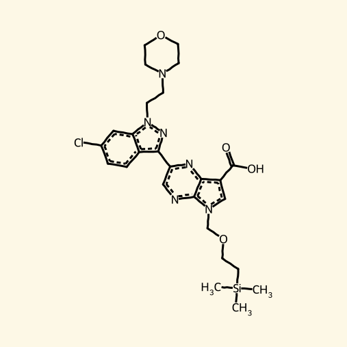 C[Si](C)(C)CCOCn1cc(C(=O)O)c2nc(-c3nn(CCN4CCOCC4)c4cc(Cl)ccc34)cnc21